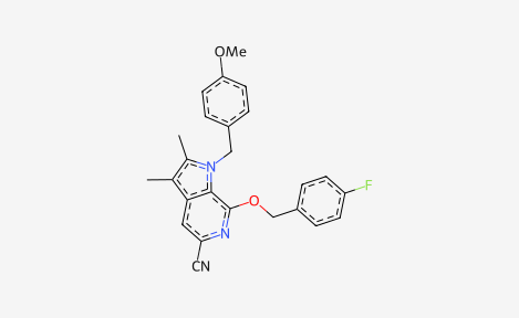 COc1ccc(Cn2c(C)c(C)c3cc(C#N)nc(OCc4ccc(F)cc4)c32)cc1